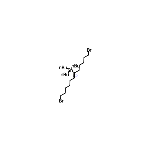 CCC[CH2][Sn]([CH2]CCC)([CH2]CCC)/[C](=C\CCCCCBr)CCCCCBr